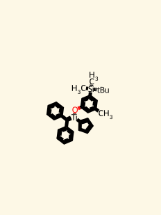 Cc1cc([O][Ti]([C]2=CC=CC2)=[C](c2ccccc2)c2ccccc2)cc([Si](C)(C)C(C)(C)C)c1